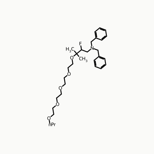 CCCOCCOCCOCCOCCOC(C)(C)C(F)CN(Cc1ccccc1)Cc1ccccc1